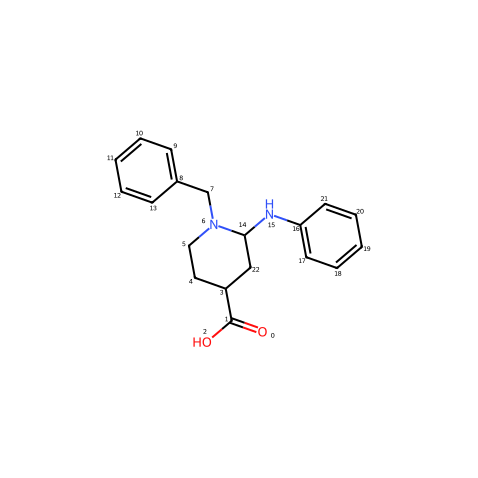 O=C(O)C1CCN(Cc2ccccc2)C(Nc2ccccc2)C1